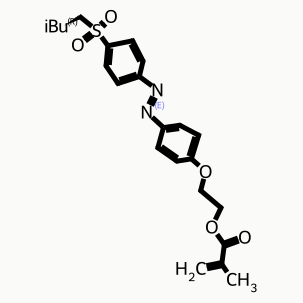 C=C(C)C(=O)OCCOc1ccc(/N=N/c2ccc(S(=O)(=O)C[C@H](C)CC)cc2)cc1